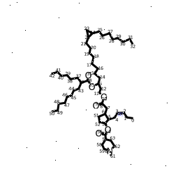 CC/C=C\CC1C(CC(=O)OCCC(CCCCCCCCC2CC2CCCCCCCC)OC(=O)C(CCCCCC)CCCCCCCC)CCC1OC(=O)C1CCN(C)CC1